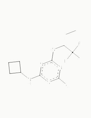 CC[C@@H](Nc1nc(Cl)nc(NC2CCC2)n1)C(F)(F)F